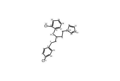 Clc1ccc(CCC(CCn2ccnc2)Sc2ccccc2Cl)cc1